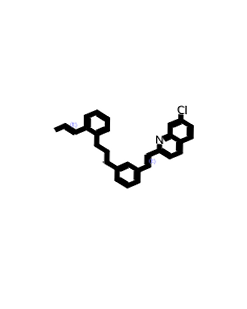 C/C=C/c1ccccc1CC[CH]c1cccc(/C=C/c2ccc3ccc(Cl)cc3n2)c1